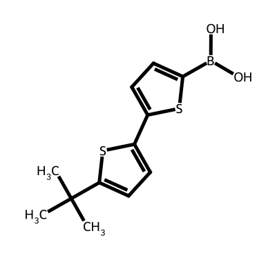 CC(C)(C)c1ccc(-c2ccc(B(O)O)s2)s1